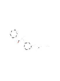 CCCCCCC(C)(C)Cc1cccc(N(C)C(=O)c2ccccc2)c1